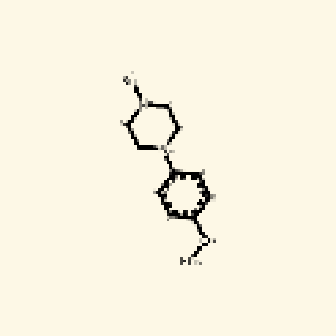 [CH2]CC(C)N1CCN(c2ccc(OCC)cc2)CC1